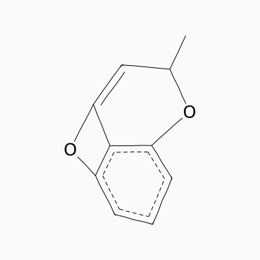 CC1C=C2Oc3cccc(c32)O1